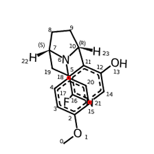 COc1ccc(N2[C@H]3CC[C@@H]2c2c(O)cnc(F)c2C3)cc1